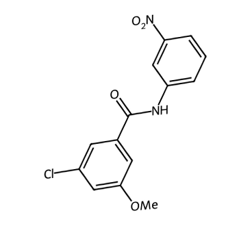 COc1cc(Cl)cc(C(=O)Nc2cccc([N+](=O)[O-])c2)c1